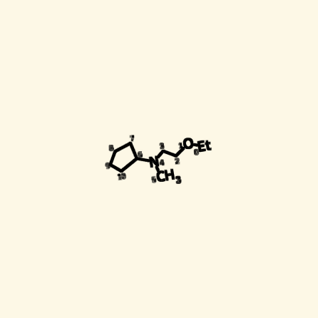 CCOCCN(C)C1CCCC1